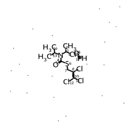 CC(C)N(C(=O)SCC(Cl)=C(Cl)Cl)C(C)C.O=P